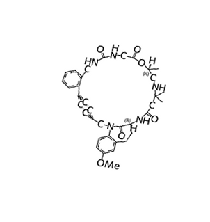 COc1ccc2c(c1)CC[C@H]1NC(=O)CC(C)(C)NC[C@@H](C)OC(=O)CNC(=O)NCc3ccccc3-c3ccc(cc3)CN2C1=O